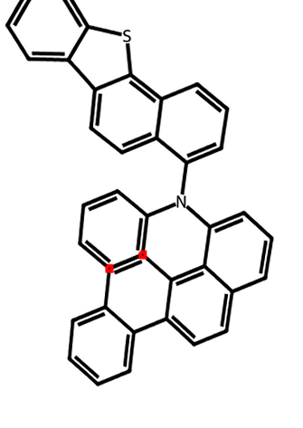 c1ccc(N(c2cccc3c2ccc2c4ccccc4sc32)c2cccc3ccc4c5ccccc5ccc4c23)cc1